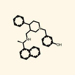 C[C@@H](NCC1CN(Cc2cccc(O)c2)CCC1c1ccccc1)c1cccc2ccccc12